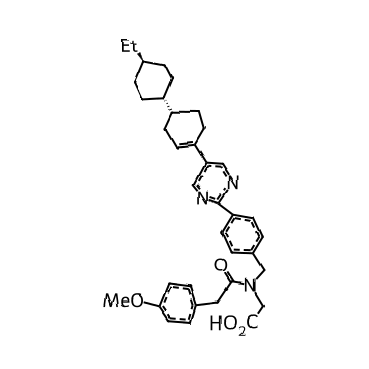 CC[C@H]1CC[C@H](C2CC=C(c3cnc(-c4ccc(CN(CC(=O)O)C(=O)Cc5ccc(OC)cc5)cc4)nc3)CC2)CC1